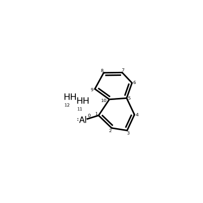 [Al][c]1cccc2ccccc12.[HH].[HH]